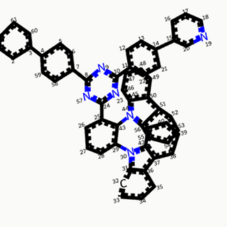 c1ccc(-c2ccc(-c3nc(-c4ccc(-c5cccnc5)cc4)nc(-c4cccc(-n5c6ccccc6c6ccccc65)c4-n4c5ccccc5c5ccccc54)n3)cc2)cc1